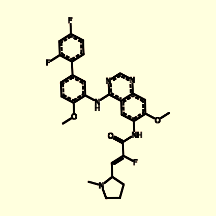 COc1cc2ncnc(Nc3cc(-c4ccc(F)cc4F)ccc3OC)c2cc1NC(=O)/C(F)=C/C1CCCN1C